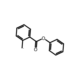 [CH2]c1ccccc1C(=O)Oc1ccccc1